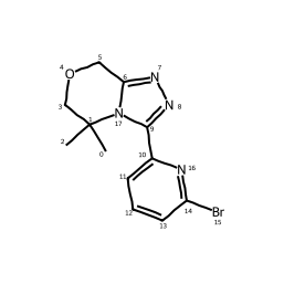 CC1(C)COCc2nnc(-c3cccc(Br)n3)n21